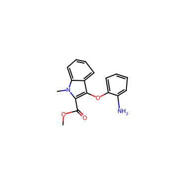 COC(=O)c1c(Oc2ccccc2N)c2ccccc2n1C